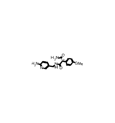 COc1ccc([C@@H](C(N)=O)C(=O)NCc2ccc(N)nc2)cc1